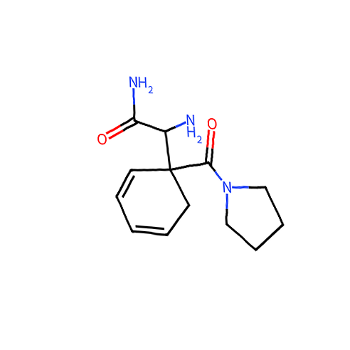 NC(=O)C(N)C1(C(=O)N2CCCC2)C=CC=CC1